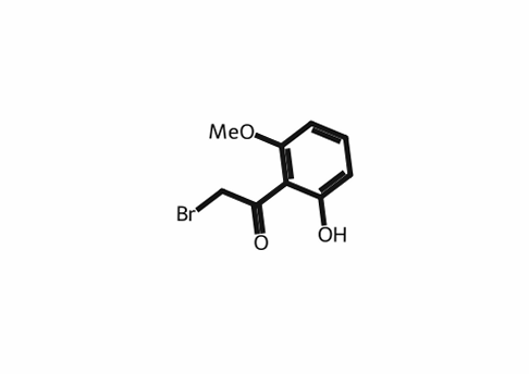 COc1cccc(O)c1C(=O)CBr